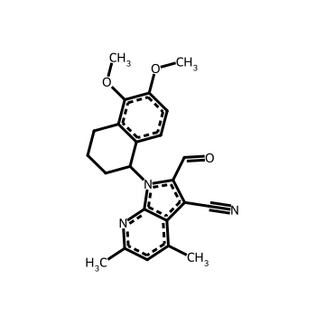 COc1ccc2c(c1OC)CCCC2n1c(C=O)c(C#N)c2c(C)cc(C)nc21